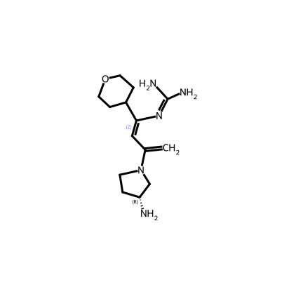 C=C(/C=C(\N=C(N)N)C1CCOCC1)N1CC[C@@H](N)C1